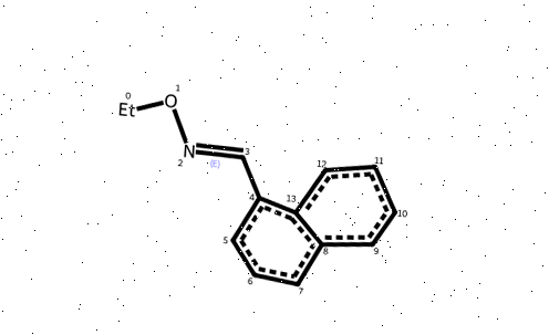 CCO/N=C/c1cccc2ccccc12